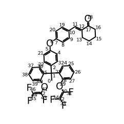 CC(c1ccc(Oc2ccc(C=C3CCCCC3=O)cc2)cc1)(c1ccccc1OC(F)=C(F)F)c1ccccc1OC(F)=C(F)F